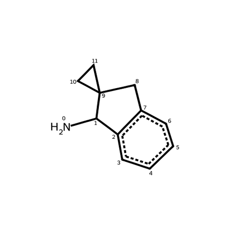 NC1c2ccccc2CC12CC2